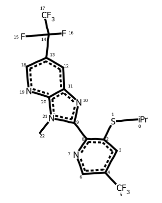 CC(C)Sc1cc(C(F)(F)F)cnc1-c1nc2cc(C(F)(F)C(F)(F)F)cnc2n1C